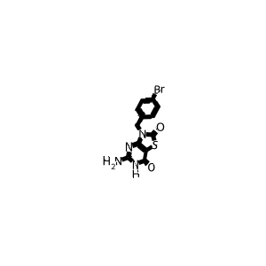 Nc1nc2c(sc(=O)n2Cc2ccc(Br)cc2)c(=O)[nH]1